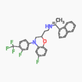 C[C@@H](NCCC1CN(c2ccc(C(F)(F)F)c(F)c2)c2cc(F)ccc2O1)c1cccc2ccccc12